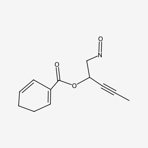 CC#CC(CN=O)OC(=O)C1=CCCC=C1